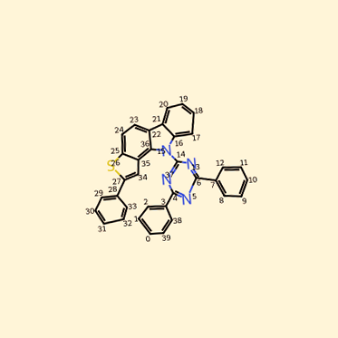 c1ccc(-c2nc(-c3ccccc3)nc(-n3c4ccccc4c4ccc5sc(-c6ccccc6)cc5c43)n2)cc1